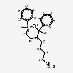 CC1(c2ccccc2)O[Si](C)(c2ccccc2)CCC1CCCCN